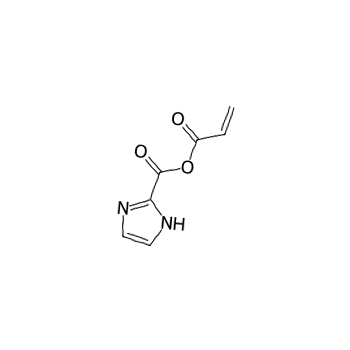 C=CC(=O)OC(=O)c1ncc[nH]1